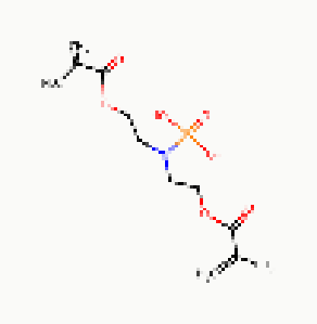 C=C(C)C(=O)OCCN(CCOC(=O)C(=C)C)P(=O)(O)O